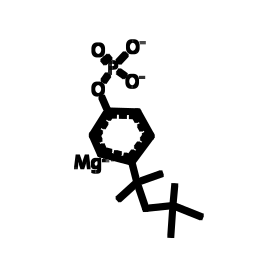 CC(C)(C)CC(C)(C)c1ccc(OP(=O)([O-])[O-])cc1.[Mg+2]